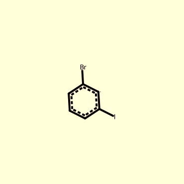 Brc1[c]c(I)ccc1